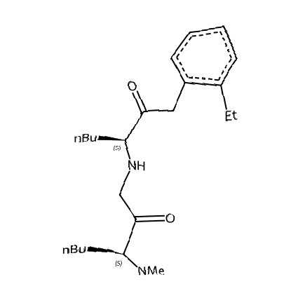 CCCC[C@H](NC)C(=O)CN[C@@H](CCCC)C(=O)Cc1ccccc1CC